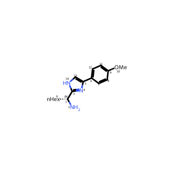 CCCCCC[C@@H](N)c1nc(-c2ccc(OC)cc2)c[nH]1